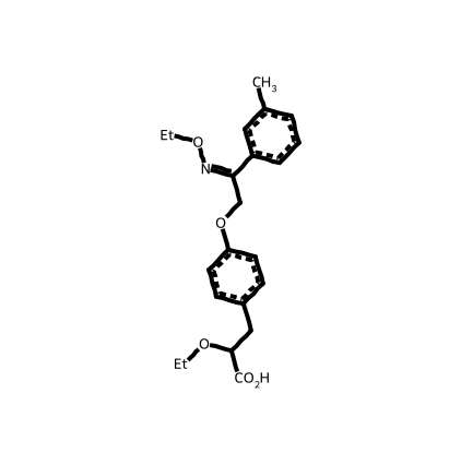 CCON=C(COc1ccc(CC(OCC)C(=O)O)cc1)c1cccc(C)c1